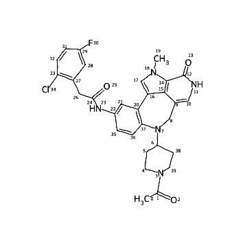 CC(=O)N1CCC(N2Cc3c[nH]c(=O)c4c3c(cn4C)-c3cc(NC(=O)Cc4cc(F)ccc4Cl)ccc32)CC1